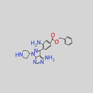 Nc1cc(C(=O)OCc2ccccc2)ccc1-c1nn(C2CCNCC2)c2ncnc(N)c12